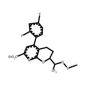 CCOC(=O)c1cc(-c2ccc(F)cc2F)c2c(n1)OC(C(OSI)C(F)(F)F)CC2